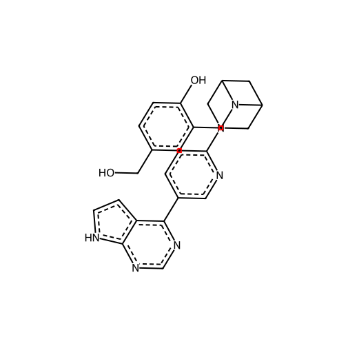 OCc1ccc(O)c(CN2C3CC2CN(c2ccc(-c4ncnc5[nH]ccc45)cn2)C3)c1